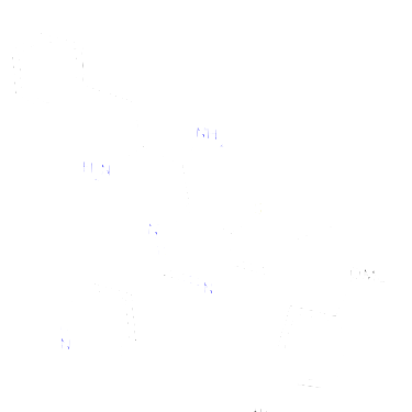 COc1ccc(C(C)(C)C)cc1-c1c(C)sc2c(C(N)C(N)Cc3ccccc3)nc(-c3ccncc3)nc12